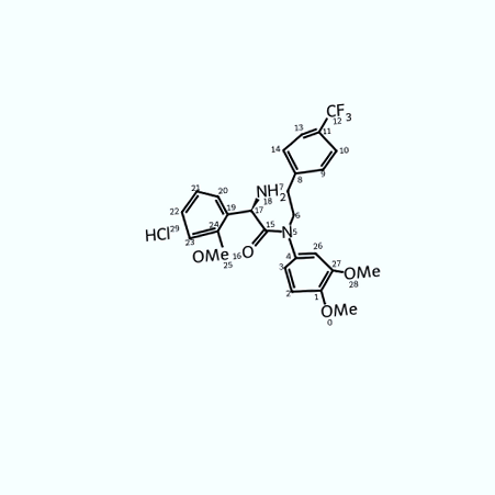 COc1ccc(N(CCc2ccc(C(F)(F)F)cc2)C(=O)[C@H](N)c2ccccc2OC)cc1OC.Cl